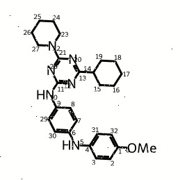 COc1ccc(Nc2ccc(Nc3nc(C4CCCCC4)nc(N4CCCCC4)n3)cc2)cc1